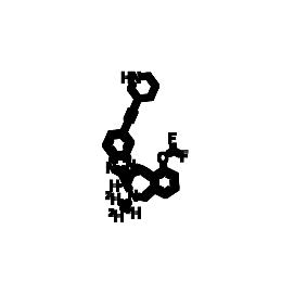 [2H]C([2H])([2H])N1C=c2cccc(OC(F)F)c2=C2C[C@@H]1c1nc3ccc(C#CC4CCCNC4)cc3n12